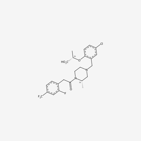 C[C@H](Oc1ccc(Cl)cc1CN1CCN(C(=O)Cc2ccc(C(F)(F)F)cc2F)[C@@H](C)C1)C(=O)O